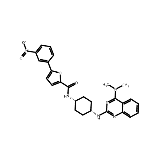 CN(C)c1nc(N[C@H]2CC[C@@H](NC(=O)c3ccc(-c4cccc([N+](=O)[O-])c4)o3)CC2)nc2ccccc12